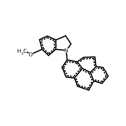 COc1ccc2c(c1)N(c1ccc3ccc4cccc5ccc1c3c45)CC2